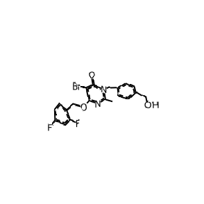 Cc1nc(OCc2ccc(F)cc2F)c(Br)c(=O)n1Cc1ccc(CO)cc1